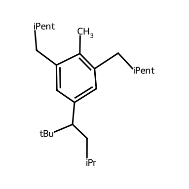 CCCC(C)Cc1cc(C(CC(C)C)C(C)(C)C)cc(CC(C)CCC)c1C